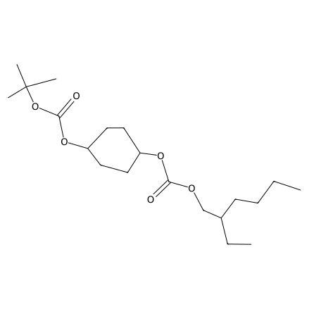 CCCCC(CC)COC(=O)OC1CCC(OC(=O)OC(C)(C)C)CC1